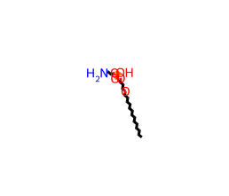 CCCCCCCCCCCCCCOCCCOP(=O)(O)OCCN